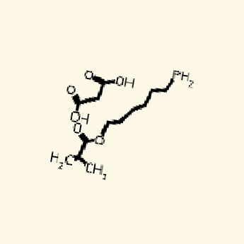 C=C(C)C(=O)OCCCCCCP.O=C(O)CC(=O)O